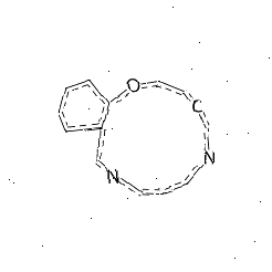 c1ccoc2ccccc2cncccnc1